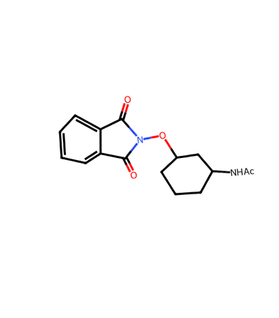 CC(=O)NC1CCCC(ON2C(=O)c3ccccc3C2=O)C1